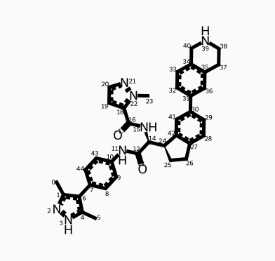 Cc1n[nH]c(C)c1-c1ccc(NC(=O)[C@@H](NC(=O)c2ccnn2C)[C@@H]2CCc3ccc(-c4ccc5c(c4)CCNC5)cc32)cc1